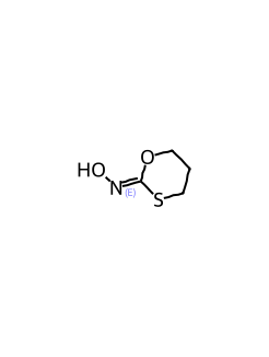 O/N=C1\OCCCS1